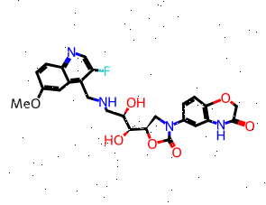 COc1ccc2ncc(F)c(CNC[C@@H](O)[C@H](O)[C@H]3CN(c4ccc5c(c4)NC(=O)CO5)C(=O)O3)c2c1